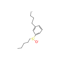 [CH2]CCCc1cccc([S+]([O-])CCCCC)c1